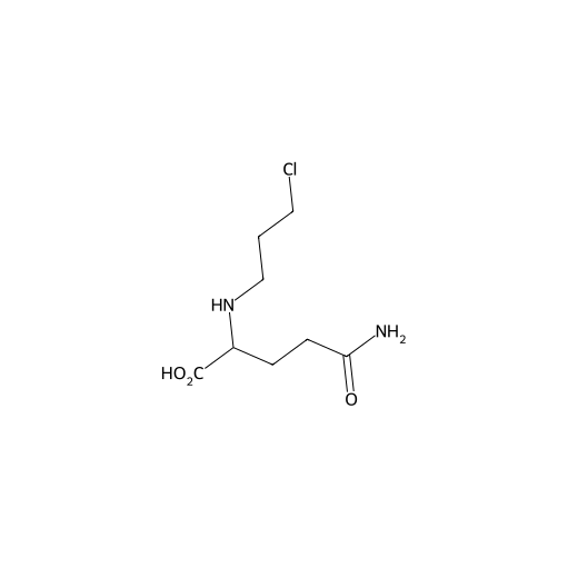 NC(=O)CCC(NCCCCl)C(=O)O